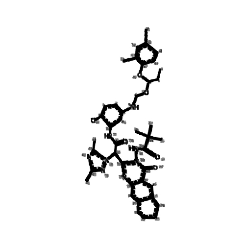 CCC(OCNc1ccc(Cl)c(NC(=O)C(c2nc3cc4ccccc4cc3c(=O)n2NC(=O)C(C)(C)C)n2nc(C)nc2C)c1)Oc1ccc(C)cc1C